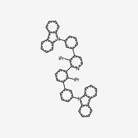 CC(C)c1c(-c2cccc(-n3c4ccccc4c4ccccc43)c2)cccc1-c1nccc(-c2cccc(-n3c4ccccc4c4ccccc43)c2)c1C(C)C